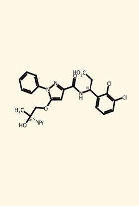 CC(C)[C@@](C)(O)COc1cc(C(=O)N[C@@H](CC(=O)O)c2cccc(Cl)c2Cl)nn1-c1ccccc1